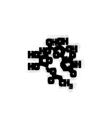 CCC(=O)OC[C@H]1O[C@@H](O)[C@H](O)[C@@H]1O.O=c1ccn([C@@H]2O[C@H](CO)[C@@H](O)[C@H]2O)c(=O)[nH]1